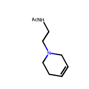 CC(=O)NCCN1CC=CCC1